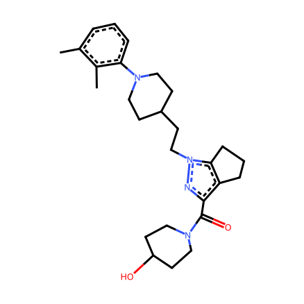 Cc1cccc(N2CCC(CCn3nc(C(=O)N4CCC(O)CC4)c4c3CCC4)CC2)c1C